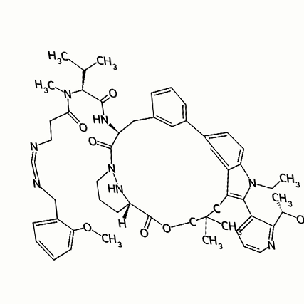 CCn1c(-c2cccnc2[C@H](C)OC)c2c3cc(ccc31)-c1cccc(c1)C[C@H](NC(=O)[C@H](C(C)C)N(C)C(=O)CCN=C=NCc1ccccc1OC)C(=O)N1CCC[C@H](N1)C(=O)OCC(C)(C)C2